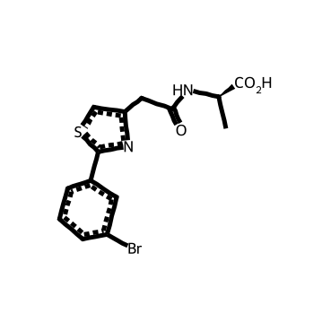 C[C@@H](NC(=O)Cc1csc(-c2cccc(Br)c2)n1)C(=O)O